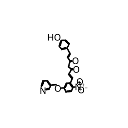 O=C(/C=C/c1ccc(O)cc1)CC(=O)/C=C/c1cc(OCc2cccnc2)ccc1[N+](=O)[O-]